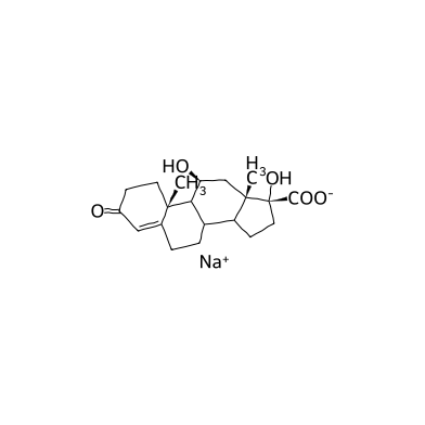 C[C@]12CCC(=O)C=C1CCC1C2[C@@H](O)C[C@@]2(C)C1CC[C@]2(O)C(=O)[O-].[Na+]